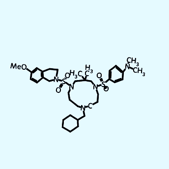 COc1ccc2c(c1)CCN(S(=O)(=O)N1CCCN(CC3CCCCC3)CCCN(S(=O)(=O)c3ccc(N(C)C)cc3)CC(C)(C)C1)C2